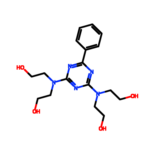 OCCN(CCO)c1nc(-c2ccccc2)nc(N(CCO)CCO)n1